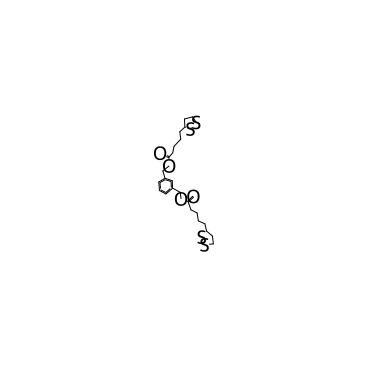 O=C(CCCCC1CCSS1)OCc1cccc(COC(=O)CCCCC2CCSS2)c1